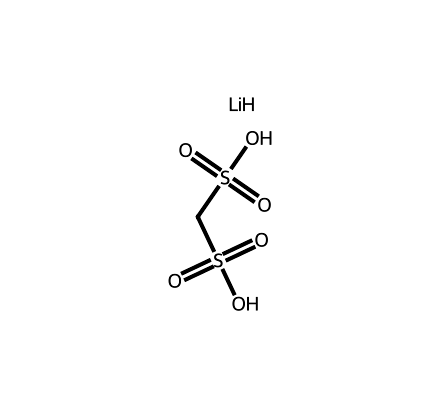 O=S(=O)(O)CS(=O)(=O)O.[LiH]